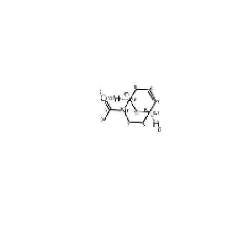 CC(=O)N1CC[C@@H]2C=CC[C@H]1C2